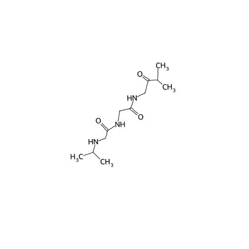 CC(C)NCC(=O)NCC(=O)NCC(=O)C(C)C